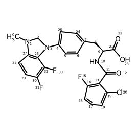 CN1CN(c2ccc(C[C@H](NC(=O)c3c(F)cccc3Cl)C(=O)O)cc2)c2c1ccc(F)c2F